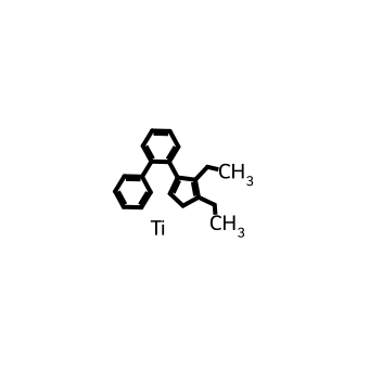 CCC1=C(CC)C(c2ccccc2-c2ccccc2)=CC1.[Ti]